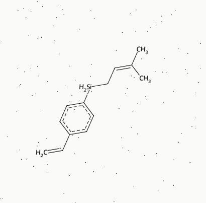 C=Cc1ccc([SiH2]CC=C(C)C)cc1